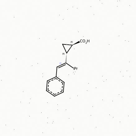 CC(C)/C(=C\c1ccccc1)[C@@H]1C[C@H]1C(=O)O